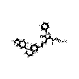 COONC1=NN(c2ccccc2)C(=O)/C1=C\C=C\c1ccc2c(c1)CCCN2c1ccc2ccsc2c1